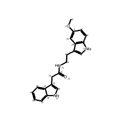 COc1ccc2[nH]cc(CCNC(=O)Cc3c[nH]c4ccccc34)c2c1